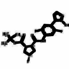 Cn1nccc1-c1cc(F)c(NC(=O)[C@H]2C[C@H](F)CN2C(=O)OC(C)(C)C)cc1F